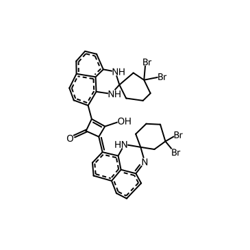 O=C1C(c2ccc3cccc4c3c2NC2(CCCC(Br)(Br)C2)N4)=C(O)/C1=c1/ccc2cccc3c2c1NC1(CCCC(Br)(Br)C1)N=3